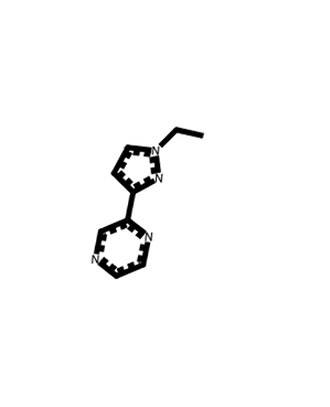 CCn1[c]cc(-c2cnccn2)n1